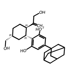 C=C(CO)[C@@H]1CC[C@@H](CO)C[C@H]1c1c(O)cc(C23CC4CC(CC(C4)C2)C3)cc1O